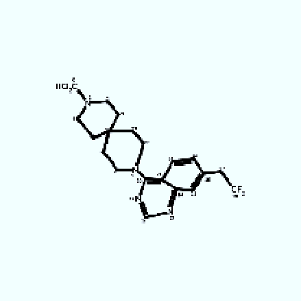 O=C(O)N1CCC2(CC1)CCN(c1ncnc3cc(CC(F)(F)F)ccc13)CC2